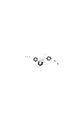 COc1ccc(-c2cccc3nc(Nc4ccc(OCCN(C)C)cc4)nn23)cc1